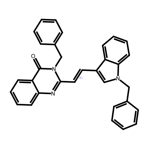 O=c1c2ccccc2nc(/C=C/c2cn(Cc3ccccc3)c3ccccc23)n1Cc1ccccc1